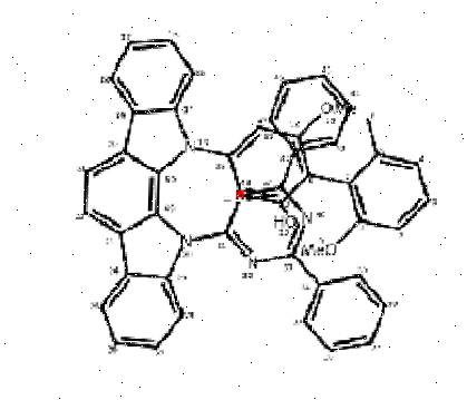 COc1cccc(C)c1-c1c(O)cc(-n2c3ccccc3c3ccc4c5ccccc5n(-c5nc(-c6ccccc6)nc(-c6ccccc6)n5)c4c32)cc1OC